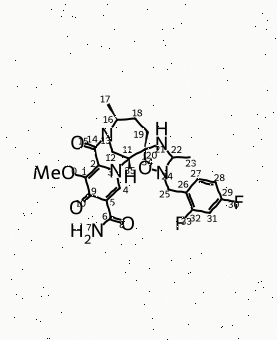 COc1c2n(cc(C(N)=O)c1=O)[C@@H]1CN(C2=O)[C@@H](C)CC[C@]12NC(C)N(Cc1ccc(F)cc1F)O2